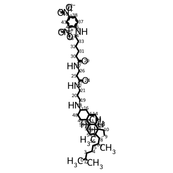 CC(C)CCC[C@@H](C)[C@H]1CC[C@H]2[C@@H]3CC=C4C[C@@H](NCCCNC(=O)CCNC(=O)CCCCCNc5ccc([N+](=O)[O-])cc5[N+](=O)[O-])CC[C@]4(C)[C@H]3CC[C@]12C